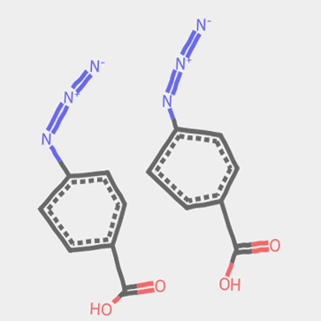 [N-]=[N+]=Nc1ccc(C(=O)O)cc1.[N-]=[N+]=Nc1ccc(C(=O)O)cc1